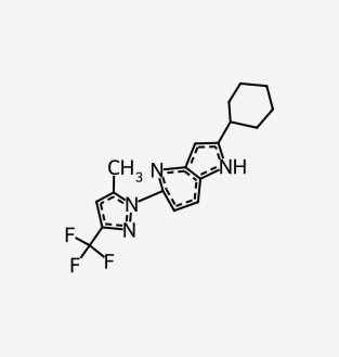 Cc1cc(C(F)(F)F)nn1-c1ccc2[nH]c(C3CCCCC3)cc2n1